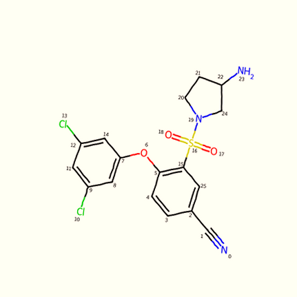 N#Cc1ccc(Oc2cc(Cl)cc(Cl)c2)c(S(=O)(=O)N2CCC(N)C2)c1